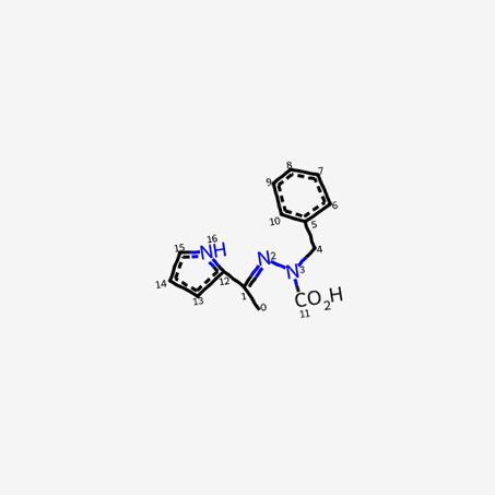 C/C(=N\N(Cc1ccccc1)C(=O)O)c1ccc[nH]1